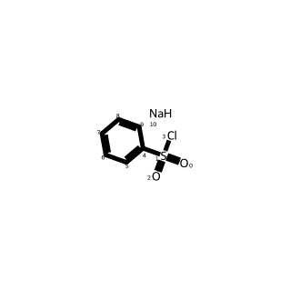 O=S(=O)(Cl)c1ccccc1.[NaH]